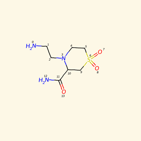 NCCN1CCS(=O)(=O)CC1C(N)=O